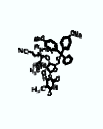 COc1ccc(C(OC[C@H]2O[C@@H](n3cc(C)c(=O)[nH]c3=O)[C@@](O)([Te]C)[C@@H]2OP(O)N(CCC#N)N(C(C)C)C(C)C)(c2ccccc2)c2ccc(OC)cc2)cc1